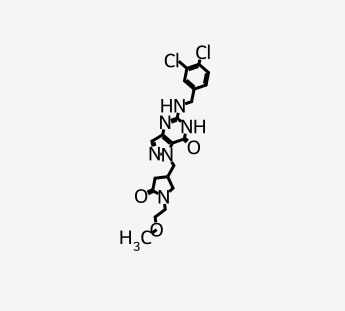 COCCN1CC(Cn2ncc3nc(NCc4ccc(Cl)c(Cl)c4)[nH]c(=O)c32)CC1=O